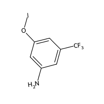 Nc1cc(OI)cc(C(F)(F)F)c1